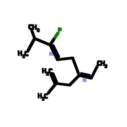 C=C(C)C/C(=C/C)C/C=C(\F)C(C)C